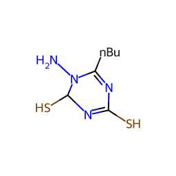 CCCCC1=NC(S)=NC(S)N1N